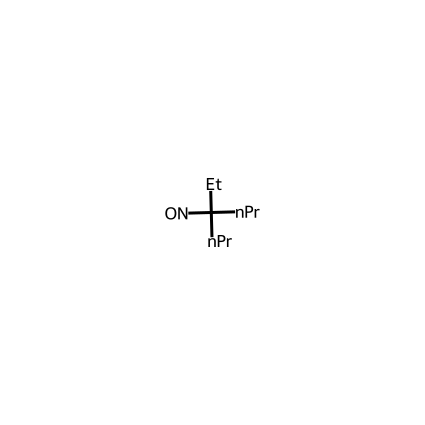 CCCC(CC)(CCC)N=O